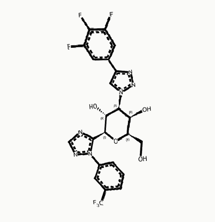 OC[C@H]1O[C@@H](c2ncnn2-c2cccc(C(F)(F)F)c2)[C@H](O)[C@@H](n2cc(-c3cc(F)c(F)c(F)c3)nn2)[C@H]1O